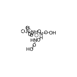 O=C(NCCOCCO)[C@@H]1C[C@H](C(=O)NCCOCCO)C[C@H](C(=O)N[C@@H](Cc2ccccc2)C(=O)NCc2ccccc2)C1